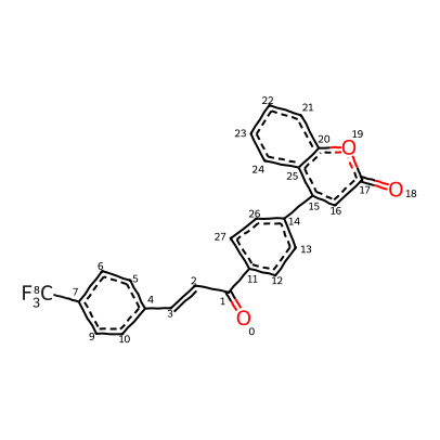 O=C(C=Cc1ccc(C(F)(F)F)cc1)c1ccc(-c2cc(=O)oc3ccccc23)cc1